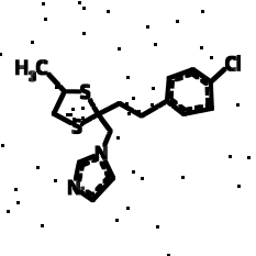 CC1CSC(CCc2ccc(Cl)cc2)(Cn2ccnc2)S1